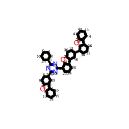 c1ccc(-c2nc(-c3ccc4oc5ccccc5c4c3)nc(-c3cccc4c3oc3ccc(-c5cccc6c5oc5ccccc56)cc34)n2)cc1